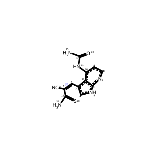 N#C/C(=C/c1c[nH]c2nccc(NC(N)=O)c12)C(N)=S